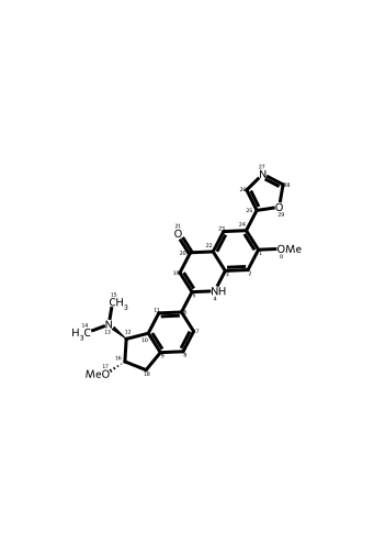 COc1cc2[nH]c(-c3ccc4c(c3)[C@H](N(C)C)[C@@H](OC)C4)cc(=O)c2cc1-c1cnco1